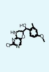 COc1ccc(C(O)C2CNc3nc(Cl)ncc3O2)c(C)c1